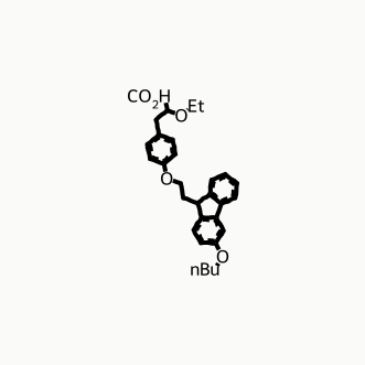 CCCCOc1ccc2c(c1)-c1ccccc1C2CCOc1ccc(CC(OCC)C(=O)O)cc1